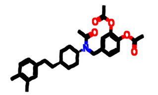 CC(=O)Oc1ccc(CN(C(C)=O)[C@H]2CC[C@H](CCc3ccc(C)c(C)c3)CC2)cc1OC(C)=O